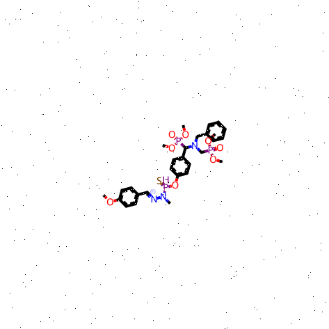 COc1ccc(/C=N/N(C)[PH](=S)Oc2ccc(C(N(Cc3ccccc3)CP(=O)(OC)OC)P(=O)(OC)OC)cc2)cc1